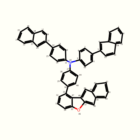 c1ccc2cc(-c3ccc(N(c4ccc(-c5ccc6ccccc6c5)cc4)c4ccc(-c5cccc6oc7cc8ccccc8cc7c56)cc4)cc3)ccc2c1